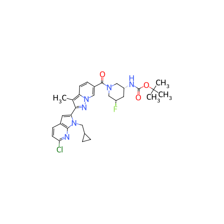 Cc1c(-c2cc3ccc(Cl)nc3n2CC2CC2)nn2cc(C(=O)N3C[C@H](F)C[C@@H](NC(=O)OC(C)(C)C)C3)ccc12